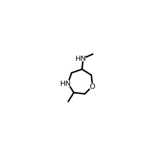 CNC1CNC(C)COC1